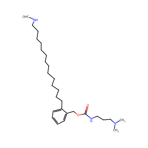 CN(C)CCCNC(=O)OCc1ccccc1CCCCCCCCCCCCCCNC=O